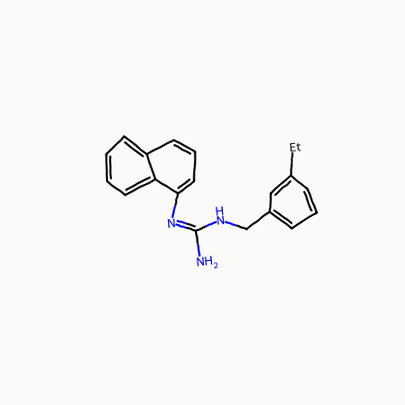 CCc1cccc(CNC(N)=Nc2cccc3ccccc23)c1